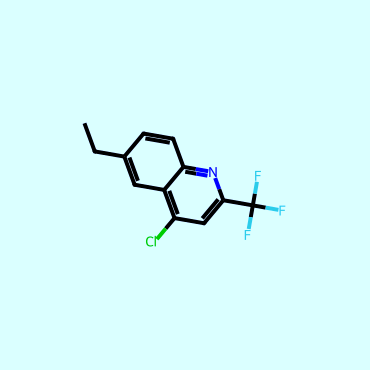 CCc1ccc2nc(C(F)(F)F)cc(Cl)c2c1